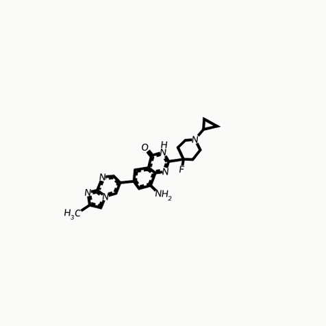 Cc1cn2cc(-c3cc(N)c4nc(C5(F)CCN(C6CC6)CC5)[nH]c(=O)c4c3)cnc2n1